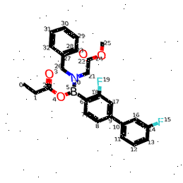 CCC(=O)OB(c1ccc(-c2cccc(F)c2)cc1F)N(CC(=O)OC)Cc1ccccc1